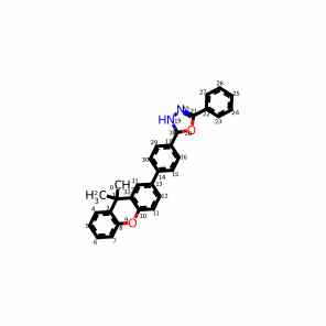 CC1(C)c2ccccc2Oc2ccc(-c3ccc(C4NN=C(c5ccccc5)O4)cc3)cc21